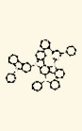 c1ccc(B(c2ccccc2)c2cc3c(c4ccccc4n3-c3ccc4c(c3)c3ccccc3n4-c3ccccc3)c3c2c2ccccc2n3-c2nc(-c3ccccc3)cc(-c3ccccc3)n2)cc1